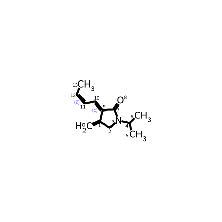 C=C1CN(C(C)C)C(=O)/C1=C/C=C\C